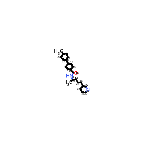 Cc1ccc(-c2ccc(C(=O)N[C@H](C)CCCc3cccnc3)cc2)cc1